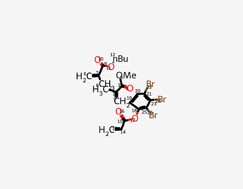 C=C(C)C(=O)OC.C=C(C)C(=O)OCCCC.C=CC(=O)Oc1ccc(Br)c(Br)c1Br